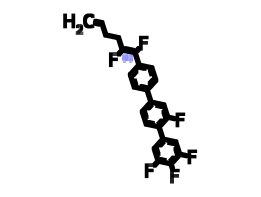 C=CCC/C(F)=C(\F)c1ccc(-c2ccc(-c3cc(F)c(F)c(F)c3)c(F)c2)cc1